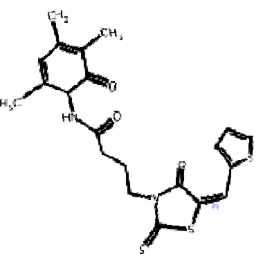 CC1=CC(C)=C(C)C(=O)C1NC(=O)CCCN1C(=O)/C(=C\c2cccs2)SC1=S